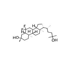 C[C@H](CCC(C)(C)O)[C@H]1CC[C@H]2[C@@H]3CC(F)(F)[C@H]4C[C@@](C)(O)CC[C@]4(C)[C@H]3CC[C@]12C